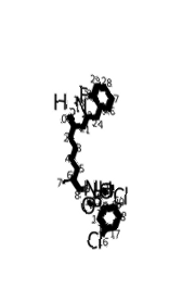 C=C(CCCC[C@H](C)CNS(=O)(=O)c1cc(Cl)ccc1Cl)C[C@H](N)Cc1ccccc1F